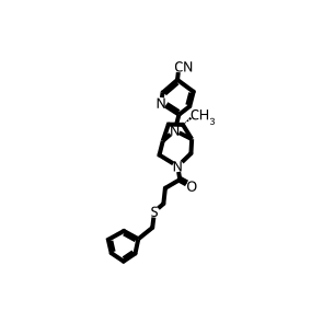 C[C@H]1CC2CN(C(=O)CCSCc3ccccc3)CC1N2c1ccc(C#N)cn1